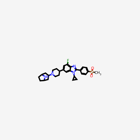 CS(=O)(=O)c1ccc(-c2nc3c(F)cc(C4CCN(C5CC6CCC(C5)N6)CC4)cc3n2C2CC2)cc1